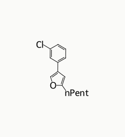 CCCCCc1cc(-c2cccc(Cl)c2)co1